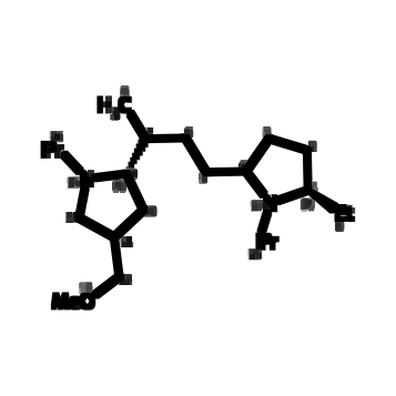 CC[C@@H]1CCC(CCC(C)[C@@H]2CC(COC)CN2C(C)C)N1C(C)C